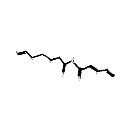 C=C/C=C/C(=O)OC(=O)CCCCC=C